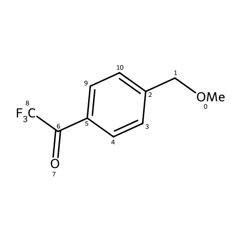 COCc1ccc(C(=O)C(F)(F)F)cc1